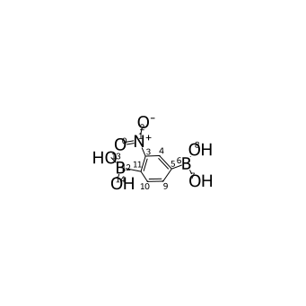 O=[N+]([O-])c1cc(B(O)O)ccc1B(O)O